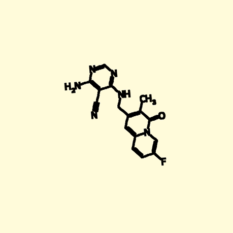 Cc1c(CNc2ncnc(N)c2C#N)cc2ccc(F)cn2c1=O